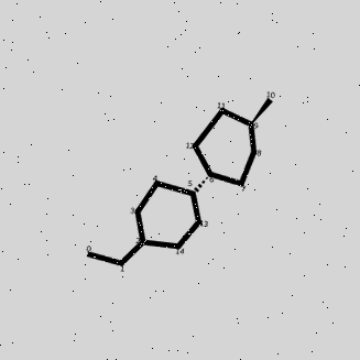 CCC1CCC([C@H]2CC[C@H](C)CC2)CC1